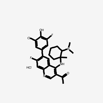 CC(=O)c1cnc2cc(F)c(-c3cc(F)c(O)c(Cl)c3)cc2c1NC1(C)CCCCC1N(C)C.Cl